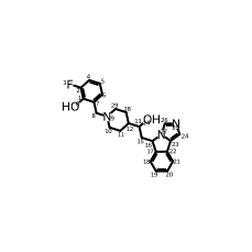 Oc1c(F)cccc1CN1CCC(C(O)CC2c3ccccc3-c3cncn32)CC1